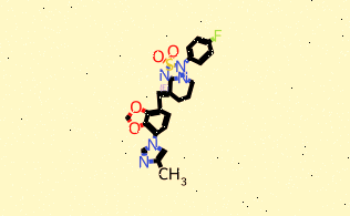 Cc1cn(-c2ccc(/C=C3\CCCN4C3=NS(=O)(=O)N4c3ccc(F)cc3)c3c2OCO3)cn1